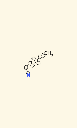 Cc1ccc2cc(-c3c4ccccc4c(-c4cccc5c(-c6cccc(-c7ccncc7)c6)cccc45)c4ccccc34)ccc2c1